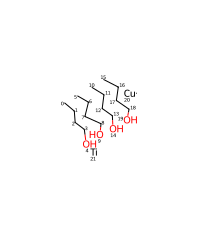 CCCCO.CCCCO.CCCCO.CCCCO.[Cu].[Ti]